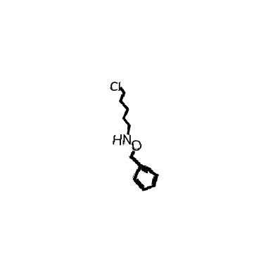 ClCCCCCNOCc1ccccc1